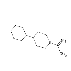 N=C(N)N1CCC(C2CCCCC2)CC1